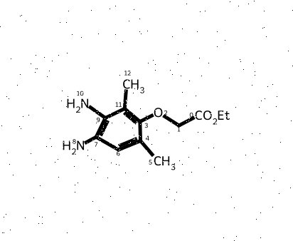 CCOC(=O)COc1c(C)cc(N)c(N)c1C